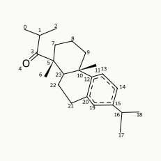 CC(C)C(=O)[C@]1(C)CCC[C@]2(C)c3ccc(C(C)C)cc3CCC12